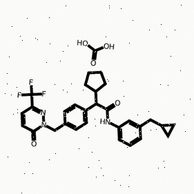 O=C(Nc1cccc(CC2CC2)c1)C(c1ccc(Cn2nc(C(F)(F)F)ccc2=O)cc1)C1CCCC1.O=C(O)O